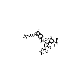 Cc1cc(C(F)(F)F)cc(N2C(=O)N(C(=O)OC(C)(C)C)CC2C(=O)N(C)c2ccc3c(F)cn(COCC[Si](C)(C)C)c3n2)n1